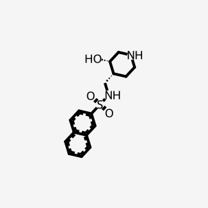 O=S(=O)(NC[C@H]1CCNC[C@H]1O)c1ccc2ccccc2c1